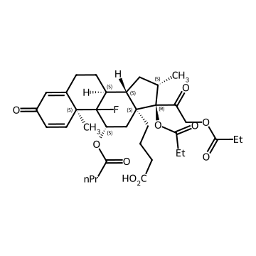 CCCC(=O)O[C@H]1C[C@@]2(CCCC(=O)O)[C@@H](C[C@H](C)[C@]2(OC(=O)CC)C(=O)COC(=O)CC)[C@@H]2CCC3=CC(=O)C=C[C@]3(C)C12F